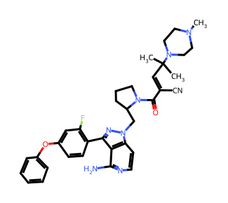 CN1CCN(C(C)(C)C=C(C#N)C(=O)N2CCCC2Cn2nc(-c3ccc(Oc4ccccc4)cc3F)c3c(N)nccc32)CC1